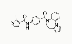 Cc1sccc1C(=O)Nc1ccc(C(=O)N2CCc3cccn3-c3ccccc32)cc1